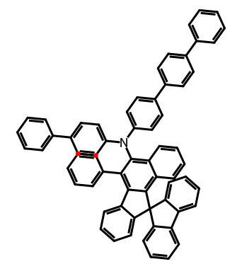 c1ccc(-c2ccc(-c3ccc(N(c4ccc(-c5ccccc5)cc4)c4c(-c5ccccc5)c5c(c6ccccc46)C4(c6ccccc6-c6ccccc64)c4ccccc4-5)cc3)cc2)cc1